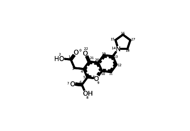 O=C(O)Cc1c(C(=O)O)oc2ccc(N3CCCC3)cc2c1=O